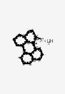 Cc1ccc2cccc3c4cccc5cccc(c1c23)c54.[LiH]